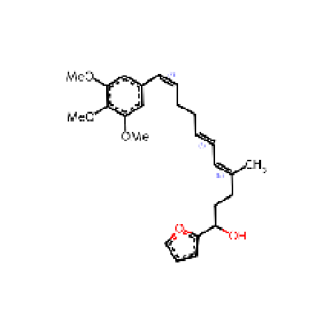 COc1cc(/C=C\CC/C=C/C=C(\C)CCC(O)c2ccco2)cc(OC)c1OC